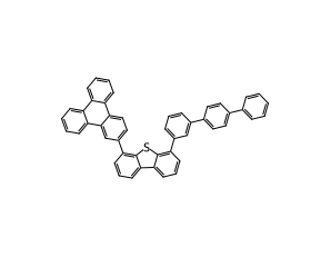 c1ccc(-c2ccc(-c3cccc(-c4cccc5c4sc4c(-c6ccc7c8ccccc8c8ccccc8c7c6)cccc45)c3)cc2)cc1